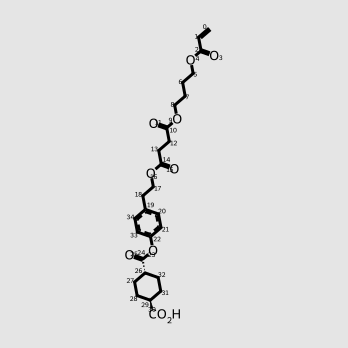 C=CC(=O)OCCCCOC(=O)CCC(=O)OCCc1ccc(OC(=O)[C@H]2CC[C@H](C(=O)O)CC2)cc1